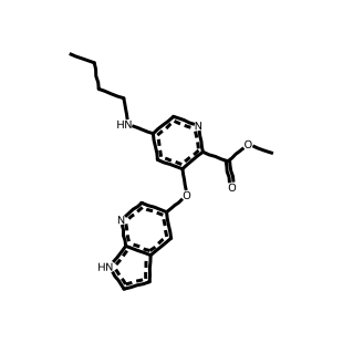 CCCCNc1cnc(C(=O)OC)c(Oc2cnc3[nH]ccc3c2)c1